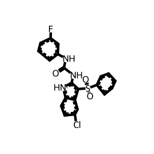 O=C(Nc1cccc(F)c1)Nc1[nH]c2ccc(Cl)cc2c1S(=O)(=O)c1ccccc1